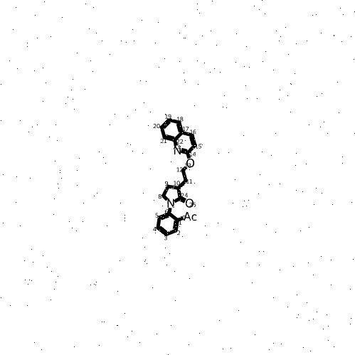 CC(=O)c1ccccc1N1CCC(CCOc2ccc3ccccc3n2)C1=O